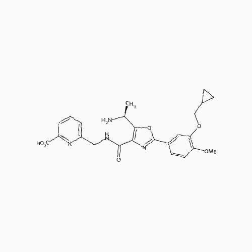 COc1ccc(-c2nc(C(=O)NCc3cccc(C(=O)O)n3)c([C@H](C)N)o2)cc1OCC1CC1